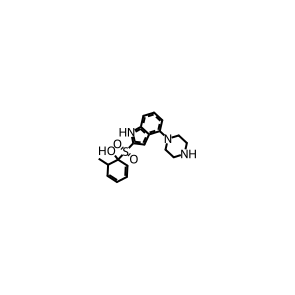 CC1C=CC=CC1(O)S(=O)(=O)c1cc2c(N3CCNCC3)cccc2[nH]1